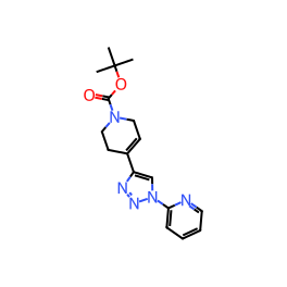 CC(C)(C)OC(=O)N1CC=C(c2cn(-c3ccccn3)nn2)CC1